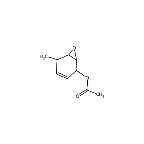 CC(=O)OC1C=CC(C)C2OC12